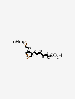 CCCCCCSCC[C@@H]1CSC[C@@H]1CC=CCC=CC(=O)O